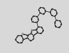 c1ccc(-c2cccc(-c3cccc(-c4cccc(-c5cccc6c5oc5c6ccc6c7ccccc7oc65)c4)c3)c2)cc1